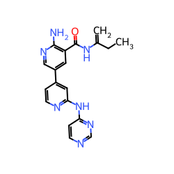 C=C(CC)NC(=O)c1cc(-c2ccnc(Nc3ccncn3)c2)cnc1N